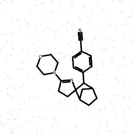 N#Cc1ccc(C2C3CCC(C3)C23CCC(N2CCOCC2)=N3)cc1